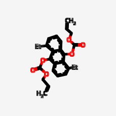 C=CCOC(=O)Oc1c2cccc(CC)c2c(OC(=O)OCC=C)c2cccc(CC)c12